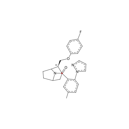 Cc1ccc(-n2cccn2)c(C(=O)N2C3CCC2[C@@H](COc2ccc(F)cc2)CC3)c1